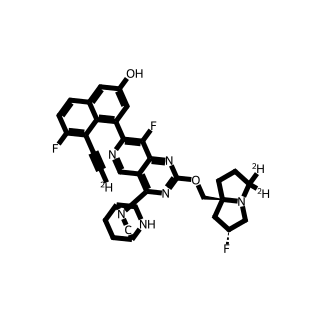 [2H]C#Cc1c(F)ccc2cc(O)cc(-c3ncc4c(N5CC6CCC5CN6)nc(OC[C@@]56CCC([2H])([2H])N5C[C@H](F)C6)nc4c3F)c12